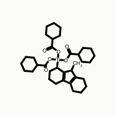 CC1C2=C(CCCC2)C2=C1[CH]([Ti]([O]C(=O)C1CCCCC1)([O]C(=O)C1CCCCC1)[O]C(=O)C1CCCCC1)CCC2